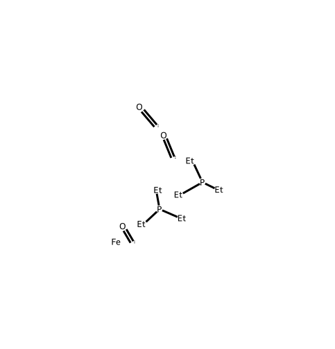 CCP(CC)CC.CCP(CC)CC.[C]=O.[C]=O.[C]=O.[Fe]